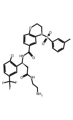 Cc1cccc(S(=O)(=O)N2CCOc3ccc(C(=O)N[C@@H](CC(=O)NCCN)c4cc(C(F)(F)F)ccc4Cl)cc32)c1